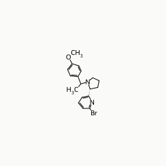 COc1ccc(C(C)N2CCC[C@@H]2c2cccc(Br)n2)cc1